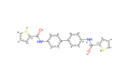 O=C(Nc1ccc(-c2ccc(NC(=O)c3cccs3)cc2)cc1)c1cccs1